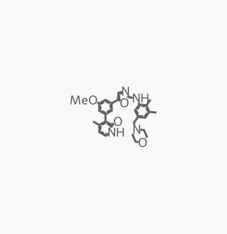 COc1cc(-c2cnc(Nc3cc(CN4CCOCC4)cc(C)c3C)o2)cc(-c2c(C)cc[nH]c2=O)c1